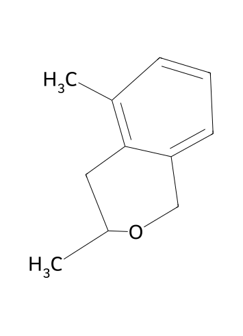 Cc1cccc2c1CC(C)OC2